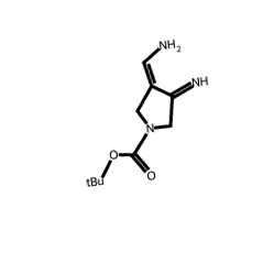 CC(C)(C)OC(=O)N1CC(=N)/C(=C\N)C1